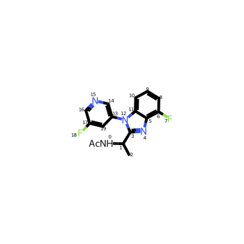 CC(=O)NC(C)c1nc2c(F)cccc2n1-c1cncc(F)c1